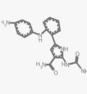 NC(=O)Nc1[nH]c(-c2ccccc2Nc2ccc(N)cc2)cc1C(N)=O